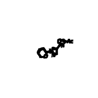 CC(=O)c1coc(-c2cnn(C3CCCCO3)c2)n1